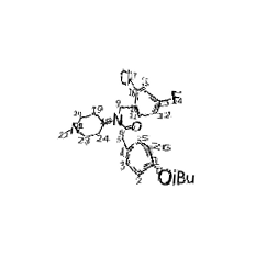 CC(C)COc1ccc(CC(=O)N(Cc2ccc(F)cc2Cl)C2CCN(C)CC2)cc1